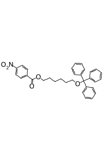 O=C(OCCCCCCOC(c1ccccc1)(c1ccccc1)c1ccccc1)c1ccc([N+](=O)[O-])cc1